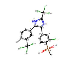 Cc1ccc(-c2[nH]c(C(F)(F)F)nc2-c2ccc(S(C)(=O)=O)c(F)c2)cc1C(F)(F)F